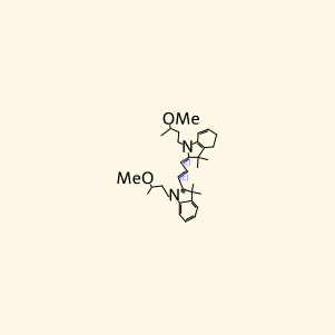 COC(C)CCN1C2=C(CCC=C2)C(C)(C)/C1=C\C=C\C1=[N+](CCC(C)OC)c2ccccc2C1(C)C